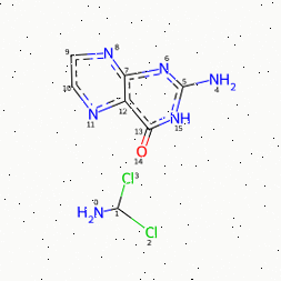 NC(Cl)Cl.Nc1nc2nccnc2c(=O)[nH]1